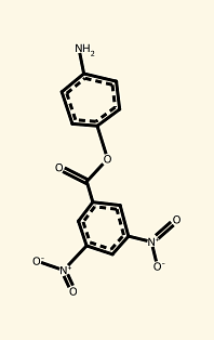 Nc1ccc(OC(=O)c2cc([N+](=O)[O-])cc([N+](=O)[O-])c2)cc1